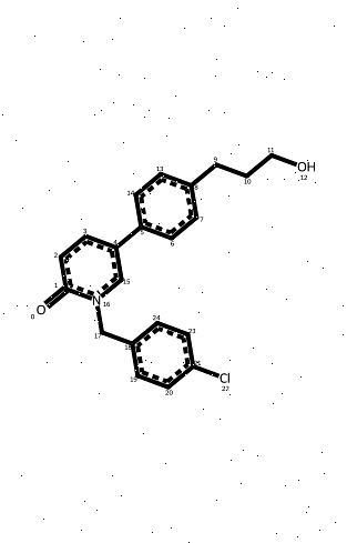 O=c1ccc(-c2ccc(CCCO)cc2)cn1Cc1ccc(Cl)cc1